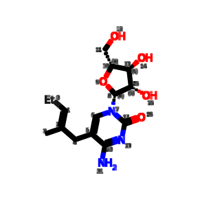 CCC=C(C)Cc1cn([C@@H]2O[C@H](CO)[C@@H](O)[C@@H]2O)c(=O)nc1N